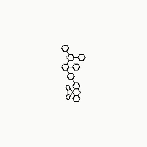 c1ccc(-c2cc(-c3ccccc3)nc(-c3cccc(-c4ccc(-c5ccc6c(c5)C5(c7ccccc7S6)c6ccccc6-c6ccccc65)cc4)c3-c3ccccc3)c2)cc1